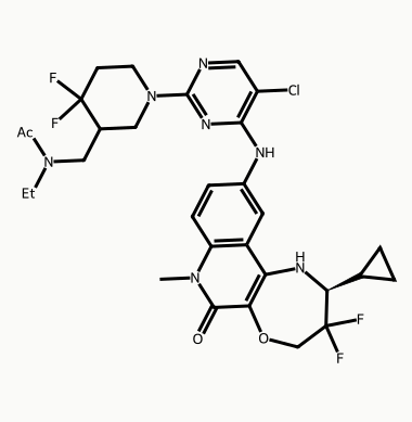 CCN(CC1CN(c2ncc(Cl)c(Nc3ccc4c(c3)c3c(c(=O)n4C)OCC(F)(F)[C@H](C4CC4)N3)n2)CCC1(F)F)C(C)=O